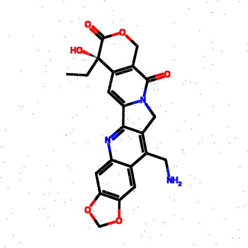 CC[C@@]1(O)C(=O)OCc2c1cc1n(c2=O)Cc2c-1nc1cc3c(cc1c2CN)OCO3